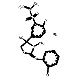 Br.CN1/C(=N\c2ccccc2Cl)SCC1(O)c1ccc(Cl)c(S(=O)(=O)N(C)C)c1